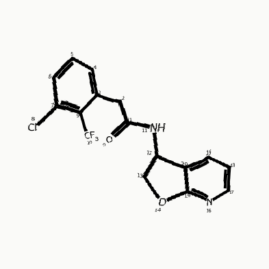 O=C(Cc1cccc(Cl)c1C(F)(F)F)NC1COc2ncccc21